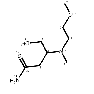 COCCN(C)[C](CO)CC(N)=O